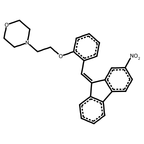 O=[N+]([O-])c1ccc2c(c1)C(=Cc1ccccc1OCCN1CCOCC1)c1ccccc1-2